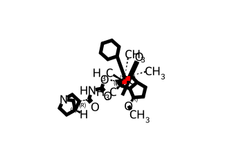 CO[C@@H]1CCC23CC[C@@H](C)[C@](C)(C12)[C@H](OC(=O)NC(=O)[C@H]1CN2CC[C@@H]1C2)C[C@@](C)(C1CCCCC1)C(=O)[C@@H]3C